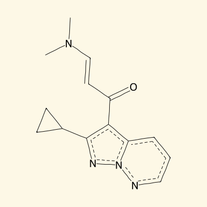 CN(C)/C=C/C(=O)c1c(C2CC2)nn2ncccc12